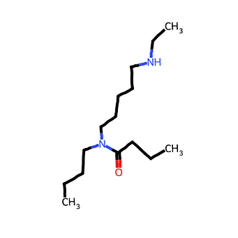 CCCCN(CCCCCNCC)C(=O)CCC